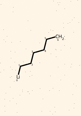 [Li][CH2]CCCC[CH2]